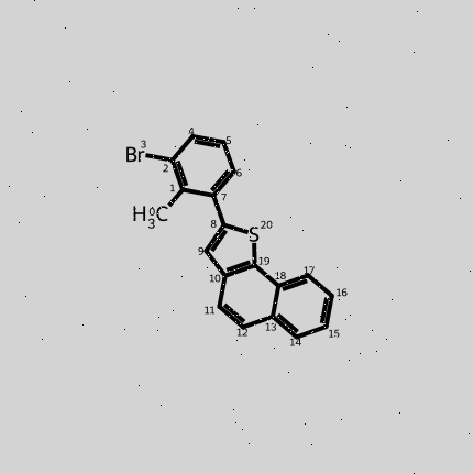 Cc1c(Br)cccc1-c1cc2ccc3ccccc3c2s1